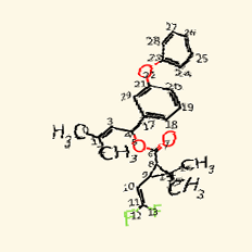 CC(C)=CC(OC(=O)C1C(C=C(F)F)C1(C)C)c1cccc(Oc2ccccc2)c1